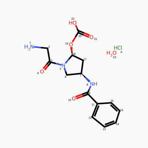 Cl.NCC(=O)N1C[C@H](NC(=O)c2ccccc2)C[C@@H]1OC(=O)O.O